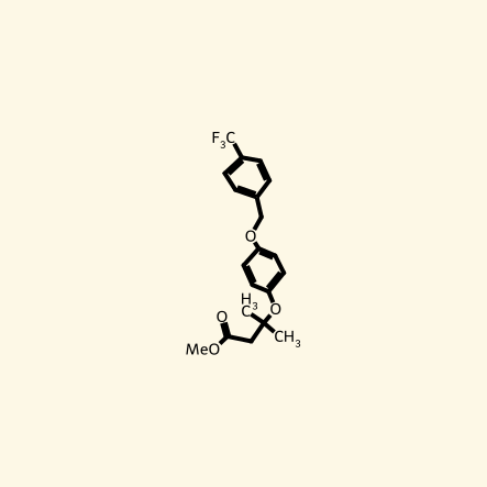 COC(=O)CC(C)(C)Oc1ccc(OCc2ccc(C(F)(F)F)cc2)cc1